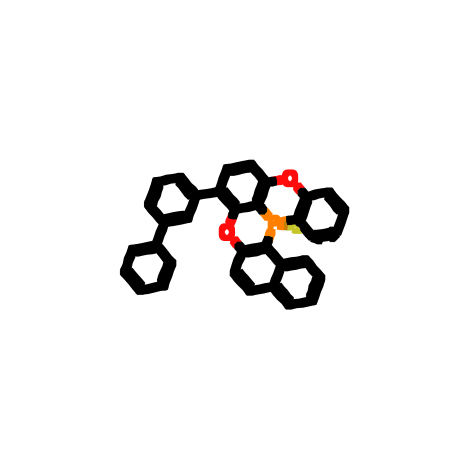 S=P12c3c(ccc(-c4cccc(-c5ccccc5)c4)c3Oc3ccc4ccccc4c31)Oc1ccc3ccccc3c12